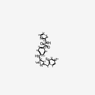 Cn1nc(Cc2ccc(F)cc2F)cc1Nc1ccc(S(=O)(=O)Nc2nccs2)cc1